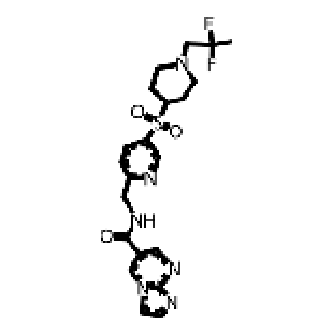 CC(F)(F)CN1CCC(S(=O)(=O)c2ccc(CNC(=O)c3cnc4nccn4c3)nc2)CC1